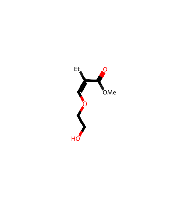 CCC(=COCCO)C(=O)OC